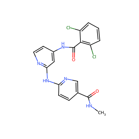 CNC(=O)c1ccc(Nc2cc(NC(=O)c3c(Cl)cccc3Cl)ccn2)nc1